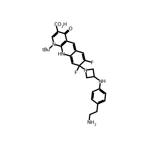 CC(C)(C)n1cc(C(=O)O)c(=O)c2c1NC1=CC(F)(N3CC(Nc4ccc(CCN)cc4)C3)C(F)=CC1=C2